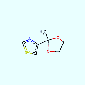 CC1(c2cs[c]n2)OCCO1